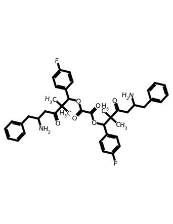 CC(C)(C(=O)CC(N)Cc1ccccc1)C(OC(=O)C(=O)OC(c1ccc(F)cc1)C(C)(C)C(=O)CC(N)Cc1ccccc1)c1ccc(F)cc1